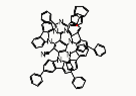 N#Cc1c(-n2c3ccccc3c3ccccc32)c(-c2nc(-c3ccccc3)nc(-c3ccccc3)n2)c(-n2c3ccc(-c4ccccc4)cc3c3cc(-c4ccccc4)ccc32)c(-n2c3ccccc3c3ccccc32)c1-n1c2ccc(-c3ccccc3)cc2c2cc(-c3ccccc3)ccc21